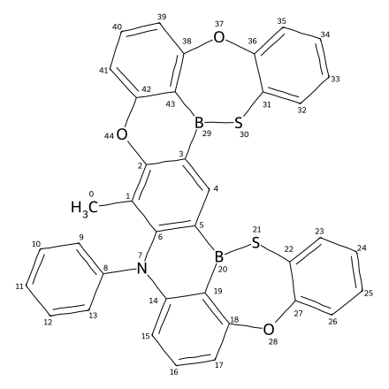 Cc1c2c(cc3c1N(c1ccccc1)c1cccc4c1B3Sc1ccccc1O4)B1Sc3ccccc3Oc3cccc(c31)O2